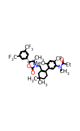 CCC(=O)N(C)c1cc(C2=C(CN3C(=O)O[C@H](c4cc(C(F)(F)F)cc(C(F)(F)F)c4)[C@@H]3C)CC(C)(C)CC2)c(OC)cc1C(F)(F)F